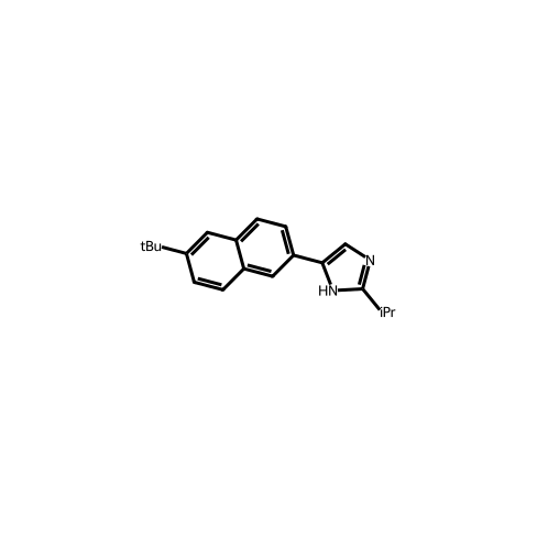 CC(C)c1ncc(-c2ccc3cc(C(C)(C)C)ccc3c2)[nH]1